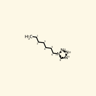 CCCCCCCn1cnnn1